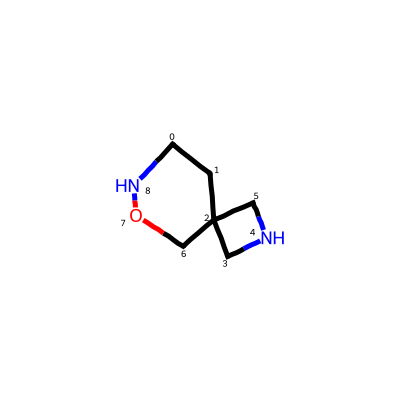 C1CC2(CNC2)CON1